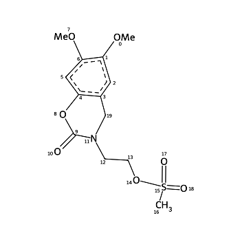 COc1cc2c(cc1OC)OC(=O)N(CCOS(C)(=O)=O)C2